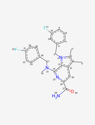 Cc1c(C)n(Cc2cccc(F)c2)c2c(N(C)Cc3ccc(F)cc3)nc(C(N)=O)cc12